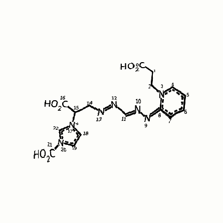 O=C(O)CCn1ccccc1=NN=CN=NCC(C(=O)O)[n+]1ccn(C(=O)O)c1